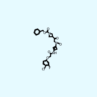 O=CN(CC(=O)C1CN(C(=O)OCc2ccccc2)C1)C12CC(NC(=O)COc3ccc(Cl)c(F)c3)(C1)C2